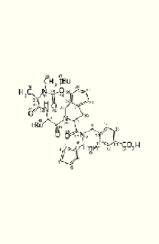 CCC[C@H](c1ccccc1)N(Cc1ccc(C(=O)O)cc1)C(=O)C1Cc2ccccc2CN1C(=O)C(NC(=O)C(C)N(C)C(=O)OC(C)(C)C)C(C)(C)C